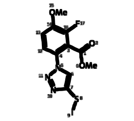 COC(=O)c1c(-n2cc(SI)nn2)ccc(OC)c1F